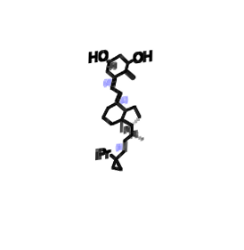 C=C1/C(=C\C=C2/CCCC3(C)C2CC[C@@H]3[C@H](C)/C=C/C2(C(C)C)CC2)C[C@@H](O)CC1O